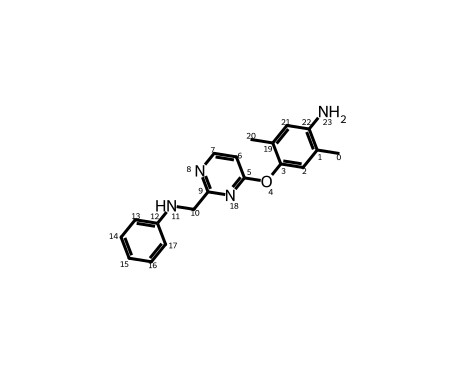 Cc1cc(Oc2ccnc(CNc3ccccc3)n2)c(C)cc1N